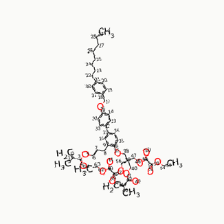 C=C(C)C(=O)OCCCc1cc(-c2ccc(OCc3ccc(CCCCCCCC)cc3)cc2)ccc1OCC(COC(=O)C(=C)C)(COC(=O)C(=O)OCC)COC(=O)C(=O)OCC